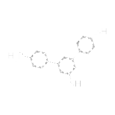 Pc1ccc(-c2cc(S)cc(-c3ccc(S)cc3)c2)cc1